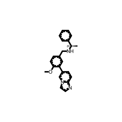 COc1ccc(CN[C@H](C)c2ccccc2)cc1-c1ccc2nccn2c1